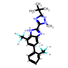 Cn1nc(C(C)(C)C)nc1-c1nc2cc(-c3ccccc3C(F)(F)F)cc(C(F)(F)F)c2[nH]1